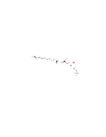 CCCCCCCC/C=C/CCCCCCCC(=O)OC[C@@H](O)COP(=O)([O-])OCC[N+](C)(C)C